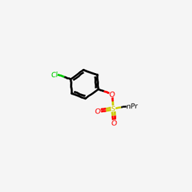 CCCS(=O)(=O)Oc1ccc(Cl)cc1